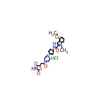 CCOc1cccc2c1cc(C(=O)Nc1ccc(N3CCN(C(=O)CC4SC(=O)NC4=O)CC3)cc1)n2CC.Cl